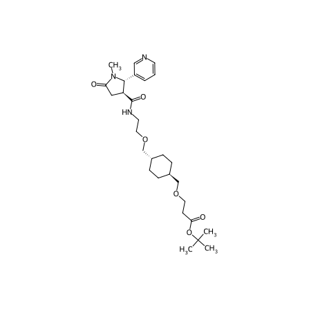 CN1C(=O)C[C@H](C(=O)NCCOC[C@H]2CC[C@H](COCCC(=O)OC(C)(C)C)CC2)[C@H]1c1cccnc1